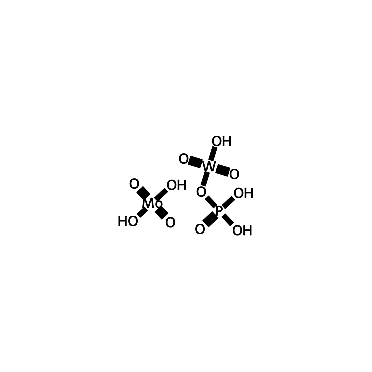 O=P(O)(O)[O][W](=[O])(=[O])[OH].[O]=[Mo](=[O])([OH])[OH]